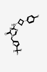 O=c1nc(N[C@H]2C[C@@H](c3ccc(F)cc3)C2)ncn1Cc1ccc(C(F)(F)F)s1